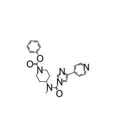 CN(C(=O)n1cnc(-c2ccncc2)c1)C1CCN(C(=O)Oc2ccccc2)CC1